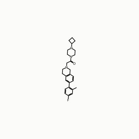 Cc1cc(F)ccc1-c1ccc2c(c1)CCN(CC(=O)N1CCN(C3CCC3)CC1)C2